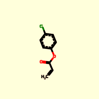 C=CC(=O)Oc1ccc(Cl)cc1